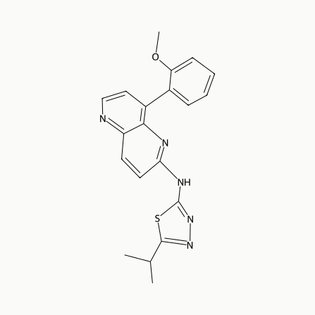 COc1ccccc1-c1ccnc2ccc(Nc3nnc(C(C)C)s3)nc12